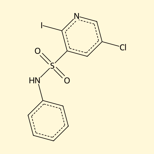 O=S(=O)(Nc1ccccc1)c1cc(Cl)cnc1I